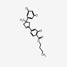 CCCCOC(=O)c1ccc(C2=NCC(C)(c3cc(Cl)cc(Cl)c3)C2)cc1Cl